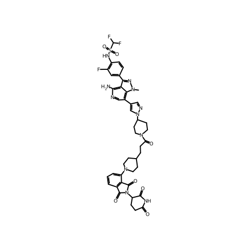 Cn1nc(-c2ccc(NS(=O)(=O)C(F)F)c(F)c2)c2c(N)ncc(-c3cnn(C4CCN(C(=O)CCC5CCN(c6cccc7c6C(=O)N(C6CCC(=O)NC6=O)C7=O)CC5)CC4)c3)c21